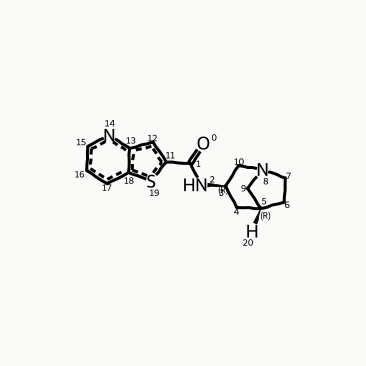 O=C(N[C@@H]1C[C@H]2CCN(C2)C1)c1cc2ncccc2s1